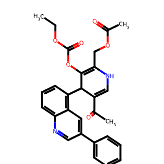 CCOC(=O)OC1=C(COC(C)=O)NC=C(C(C)=O)C1c1cccc2ncc(-c3ccccc3)cc12